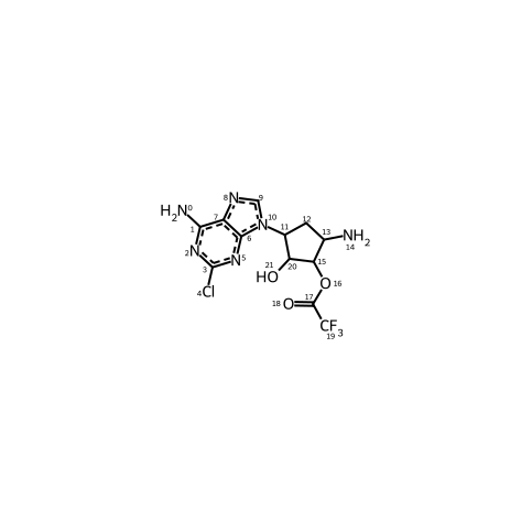 Nc1nc(Cl)nc2c1ncn2C1CC(N)C(OC(=O)C(F)(F)F)C1O